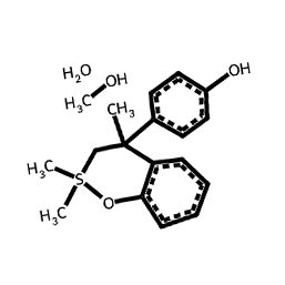 CC1(c2ccc(O)cc2)CS(C)(C)Oc2ccccc21.CO.O